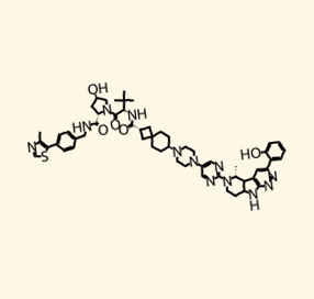 Cc1ncsc1-c1ccc(CNC(=O)[C@@H]2C[C@@H](O)CN2C(=O)[C@@H](NC(=O)[C@H]2CC3(CC[C@H](N4CCN(c5cnc(N6CCC7Nc8nnc(-c9ccccc9O)cc8C7[C@H]6C)nc5)CC4)CC3)C2)C(C)(C)C)cc1